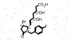 CC(C)[C@H]1CC(=O)N(Cc2ccc(F)cc2)[C@@H]1/C=C/[C@@H](O)C[C@@H](O)CC(=O)O